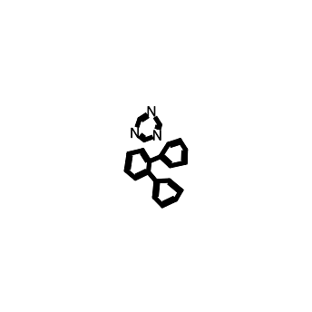 c1ccc(-c2ccccc2-c2ccccc2)cc1.c1ncncn1